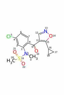 CN(c1cc(Cl)ccc1C(=O)c1cnoc1C1CC1)S(C)(=O)=O